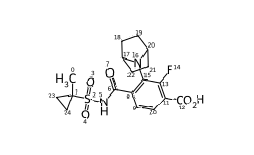 CC1(S(=O)(=O)NC(=O)c2ccc(C(=O)O)c(F)c2N2C3CCC2CC3)CC1